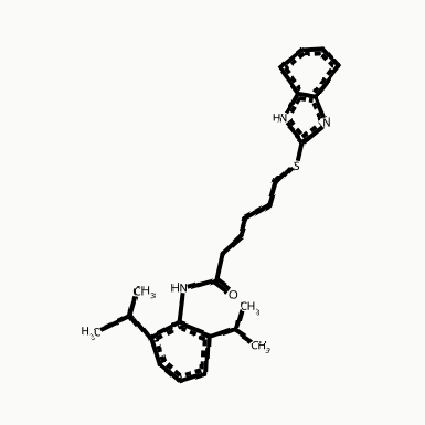 CC(C)c1cccc(C(C)C)c1NC(=O)CCCCCSc1nc2ccccc2[nH]1